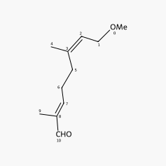 COCC=C(C)CCC=C(C)C=O